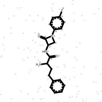 NC(CCc1ccccc1)C(=O)NC1CN(c2ccc(F)cc2)C1=O